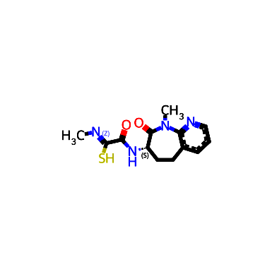 C/N=C(\S)C(=O)N[C@H]1CCc2cccnc2N(C)C1=O